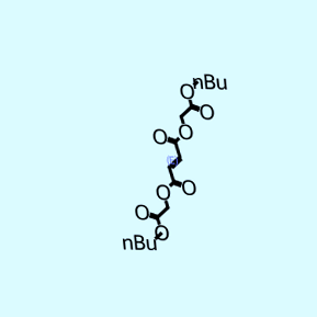 CCCCOC(=O)COC(=O)/C=C/C(=O)OCC(=O)OCCCC